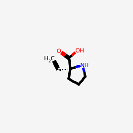 C=C[C@@]1(C(=O)O)CCCN1